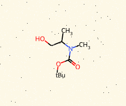 CC(CO)N(C)C(=O)OC(C)(C)C